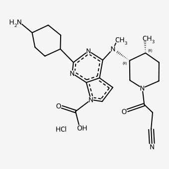 C[C@@H]1CCN(C(=O)CC#N)C[C@@H]1N(C)c1nc(C2CCC(N)CC2)nc2c1ccn2C(=O)O.Cl